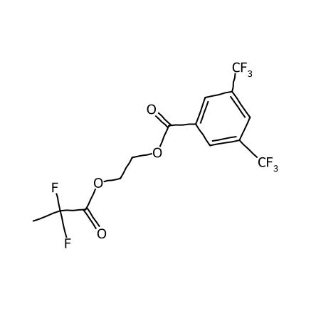 CC(F)(F)C(=O)OCCOC(=O)c1cc(C(F)(F)F)cc(C(F)(F)F)c1